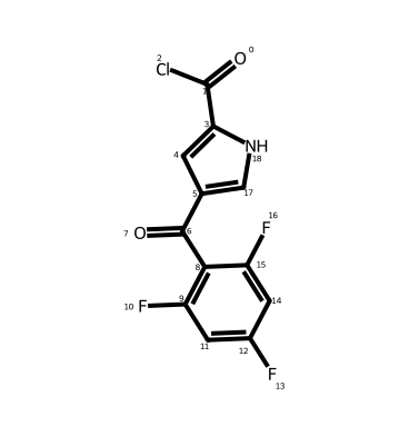 O=C(Cl)c1cc(C(=O)c2c(F)cc(F)cc2F)c[nH]1